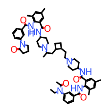 CCN(C(C)=O)c1cccc(C(=O)Nc2c(C)cc(C)cc2C(=O)NC2CCN(CCC3CCC3CC(C)N3CCC(NC(=O)c4cc(C)cc(C)c4NC(=O)c4cccc(N5CCCC5=O)c4)CC3)CC2)c1